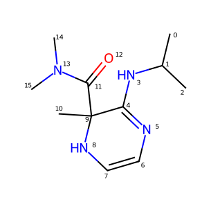 CC(C)NC1=NC=CNC1(C)C(=O)N(C)C